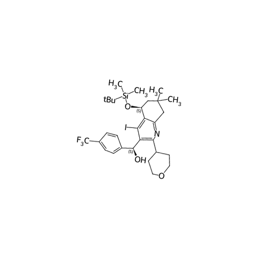 CC1(C)Cc2nc(C3CCOCC3)c([C@@H](O)c3ccc(C(F)(F)F)cc3)c(I)c2[C@@H](O[Si](C)(C)C(C)(C)C)C1